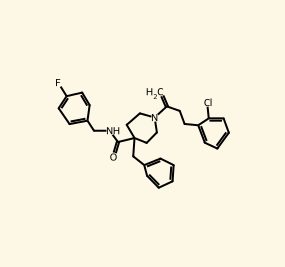 C=C(CCc1ccccc1Cl)N1CCC(Cc2ccccc2)(C(=O)NCc2ccc(F)cc2)CC1